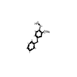 COc1cc(Cc2ccccc2)ccc1N=N